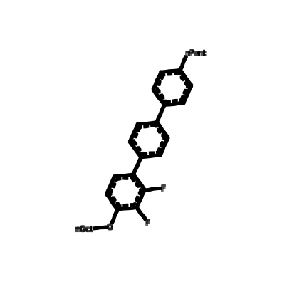 CCCCCCCCOc1ccc(-c2ccc(-c3ccc(CCCCC)cc3)cc2)c(F)c1F